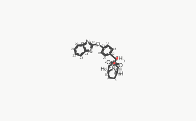 CS(=O)(=O)N1[C@@H]2CC[C@H]1CN(Cc1ccc(Oc3nc4ccccc4s3)cc1)C2